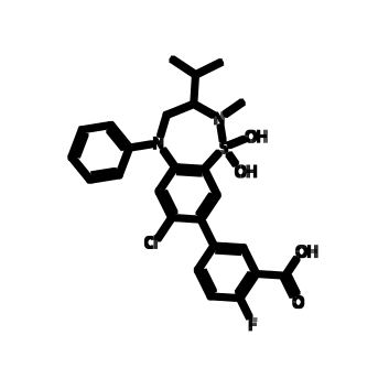 CC(C)C1CN(c2ccccc2)c2cc(Cl)c(-c3ccc(F)c(C(=O)O)c3)cc2S(O)(O)N1C